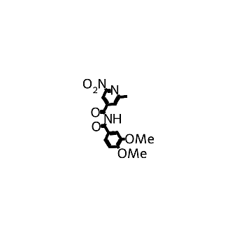 COc1ccc(C(=O)NC(=O)c2cc(C)nc([N+](=O)[O-])c2)cc1OC